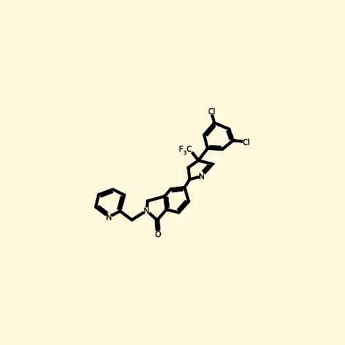 O=C1c2ccc(C3CC(c4cc(Cl)cc(Cl)c4)(C(F)(F)F)C=N3)cc2CN1Cc1ccccn1